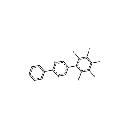 Cc1c(F)c(F)c(-c2cnc(-c3ccccc3)nc2)c(F)c1F